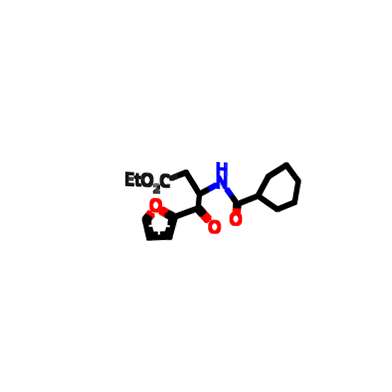 CCOC(=O)CC(NC(=O)C1CCCCC1)C(=O)c1ccco1